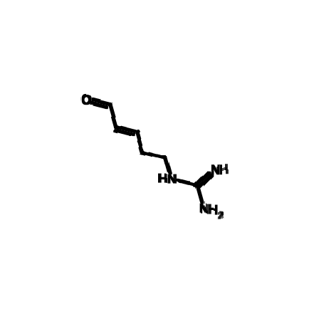 N=C(N)NCCC=CC=O